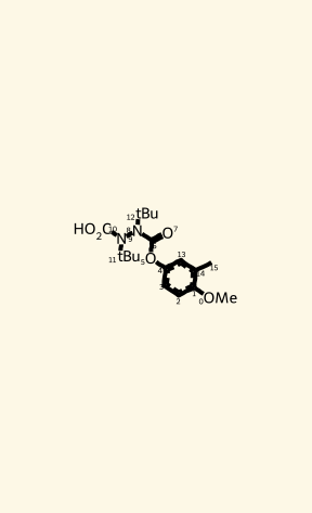 COc1ccc(OC(=O)N(N(C(=O)O)C(C)(C)C)C(C)(C)C)cc1C